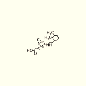 Cc1cccc(CCNc2cc(Cl)nc(SCC(=O)O)n2)c1C